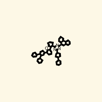 c1ccc(-c2ccc(-c3nc(-c4cc5ccccc5c5ccccc45)nc(-c4cccc5oc6c(-c7ccc(-c8ccccc8)c(-c8ccccc8)c7)cccc6c45)n3)cc2)cc1